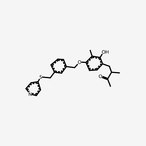 CC(=O)C(C)Cc1ccc(OCc2cccc(CSc3ccncc3)c2)c(C)c1O